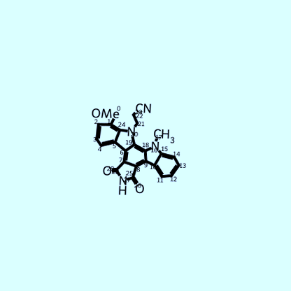 COc1cccc2c3c4c(c5c6ccccc6n(C)c5c3n(CCC#N)c12)C(=O)NC4=O